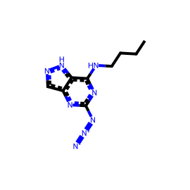 CCCCNc1nc(N=[N+]=[N-])nc2cn[nH]c12